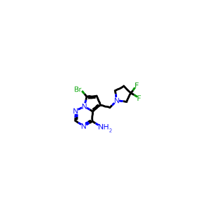 Nc1ncnn2c(Br)cc(CN3CCC(F)(F)C3)c12